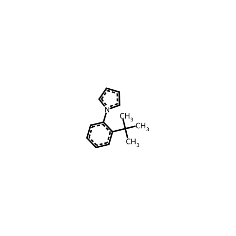 CC(C)(C)c1ccccc1-n1cccc1